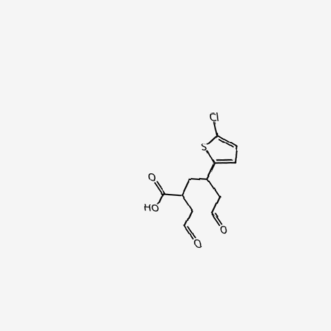 O=CCC(CC(CC=O)c1ccc(Cl)s1)C(=O)O